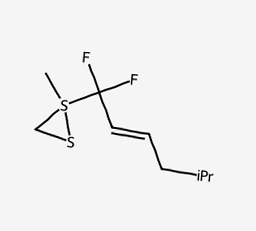 CC(C)C/C=C/C(F)(F)S1(C)CS1